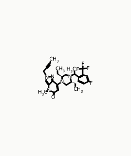 CC#CCn1cc2c(n1)c(N1C[C@@H](CC)N(C(C)c3ccc(F)cc3C(F)(F)F)C[C@@H]1CC)cc(=O)n2C